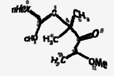 CCCCCCC(C=O)OC(C)(C)C(=O)C(C)OC